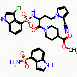 COC(=O)C1CCN(C(=O)C(CCn2cccc2C#N)NS(=O)(=O)c2cccc3[nH]cc(Cl)c23)CC1.NS(=O)(=O)c1cccc2[nH]ccc12